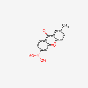 Cc1ccc2oc3cc(B(O)O)ccc3c(=O)c2c1